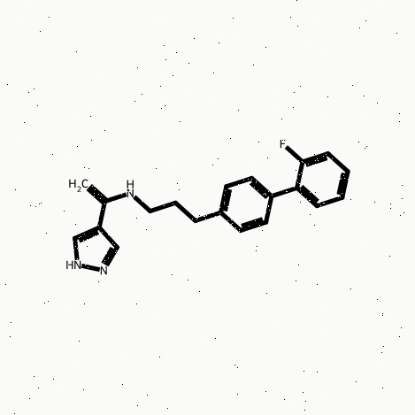 C=C(NCCCc1ccc(-c2ccccc2F)cc1)c1cn[nH]c1